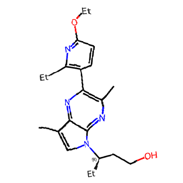 CCOc1ccc(-c2nc3c(C)cn([C@H](CC)CCO)c3nc2C)c(CC)n1